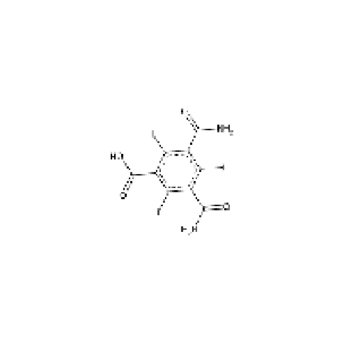 NC(=O)c1c(I)c(C(N)=O)c(I)c(C(=O)O)c1I